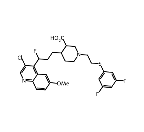 COc1ccc2ncc(Cl)c(C(F)CCC3CCN(CCSc4cc(F)cc(F)c4)CC3C(=O)O)c2c1